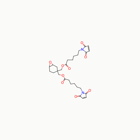 O=C(CCCCCN1C(=O)C=CC1=O)OCC1(COC(=O)CCCCCN2C(=O)C=CC2=O)CCC2OC2C1